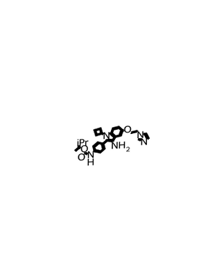 CC(C)C(C)OC(=O)Nc1ccc(-c2c(N)c3cc(OCCn4ccnc4)ccc3n2C2CCC2)cc1